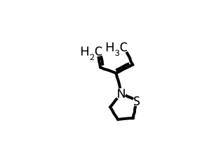 C=C/C(=C\C)N1CCCS1